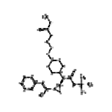 COC(=O)COCCN1CCC(N(C(=O)OC(C)(C)C)[C@H]2CC2C(C)=Cc2ccccc2)CC1